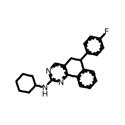 Fc1ccc(C2Cc3cnc(NC4CCCCC4)nc3-c3ccccc32)cc1